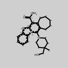 CC1(CO)CCN(c2c3c(c(C(N)=O)c4nc5ccccc5n24)CCCCC3)CC1